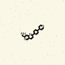 NCc1cc2nc(-c3ccc(-c4ccncc4)cc3)ccc2cn1